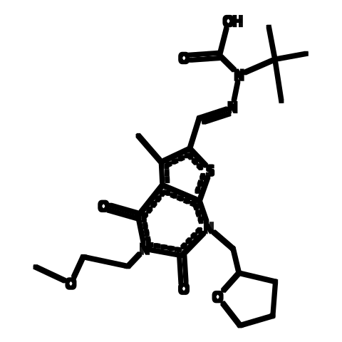 COCCn1c(=O)c2c(C)c(/C=N/N(C(=O)O)C(C)(C)C)sc2n(CC2CCCO2)c1=O